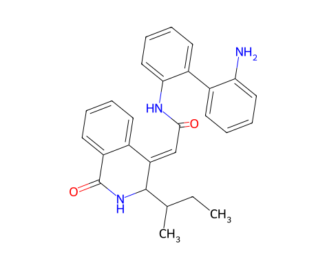 CCC(C)C1NC(=O)c2ccccc2C1=CC(=O)Nc1ccccc1-c1ccccc1N